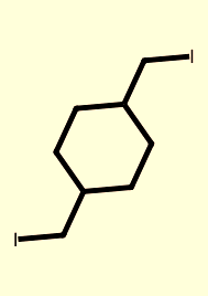 ICC1CCC(CI)CC1